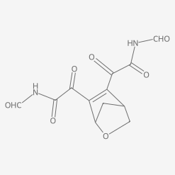 O=CNC(=O)C(=O)C1=C(C(=O)C(=O)NC=O)C2CC1CO2